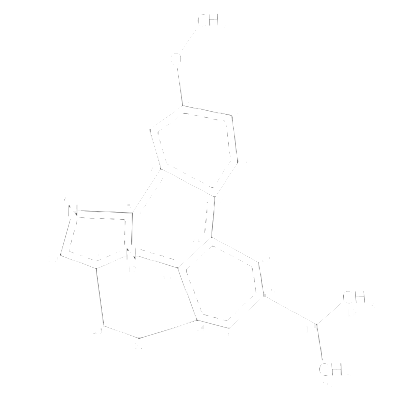 COc1ccc2c(c1)c1ncc3n1c1c(cc(C(C)C)cc21)CC3